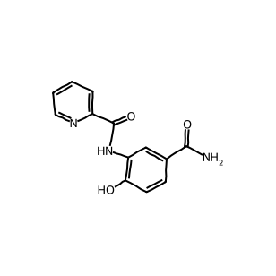 NC(=O)c1ccc(O)c(NC(=O)c2ccccn2)c1